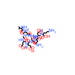 CC(C)C(N)C(=O)NC(CCC(N)=O)C(=O)NCC(=O)NC(CCC(=O)O)C(=O)NC(CCC(=O)O)C(=O)NC(CO)C(=O)NC(CC(N)=O)C(=O)NC(CC(=O)O)C(=O)NC(CCCCN)C(=O)O